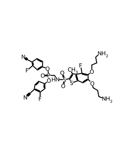 Cc1c(S(=O)(=O)NCP(=O)(Oc2ccc(C#N)c(F)c2)Oc2ccc(C#N)c(F)c2)sc2cc(OCCCN)c(OCCCN)c(F)c12